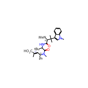 CN[C@H](C(=O)NC(C(=O)N(C)[C@H](/C=C(\C)C(=O)O)C(C)C)C(C)(C)C)C(C)(C)c1cn(C)c2ccccc12